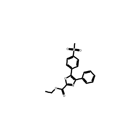 CCOC(=O)c1nc(-c2ccccc2)c(-c2ccc(S(C)(=O)=O)cc2)o1